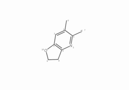 Cc1cc2c(nc1F)CCO2